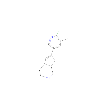 Cc1cc(C2=CC3CCNCC3C2)cnc1Cl